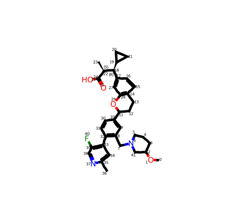 COC1CCCN(Cc2cc(C3CCc4ccc([C@H](C5CC5)[C@H](C)C(=O)O)cc4O3)ccc2-c2cc(C)ncc2F)C1